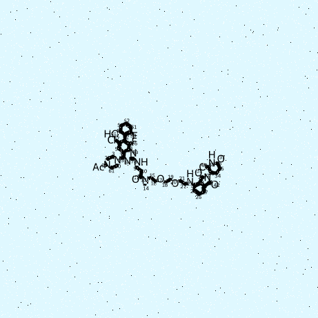 CC(=O)N1CCN(c2nc(NCCC(=O)N(C)CCOCCOCCNc3cccc4c3C(=O)N(C3CCC(=O)NC3=O)C4=O)nc3c(F)c(C4=C(F)C=CCC4O)c(Cl)cc23)CC1